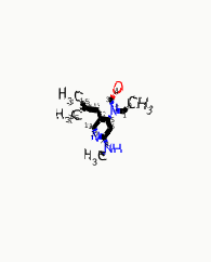 CCN(C=O)c1cc(NC)ncc1C=C(C)C